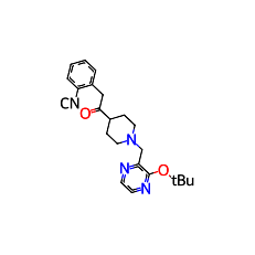 CC(C)(C)Oc1nccnc1CN1CCC(C(=O)Cc2ccccc2C#N)CC1